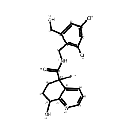 O=C(NCc1c(Cl)cc(Cl)cc1CO)C1(F)CCC(O)c2ncccc21